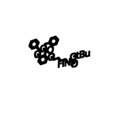 CC(C)(C)OC(=O)NCCCCOc1cccc(OCc2ccccc2)c1C(=O)OCc1ccccc1